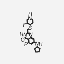 O=c1[nH]c(CS[C@@H]2CCNC[C@@H]2F)nc2cc(NC3CCCC3)cc(F)c12